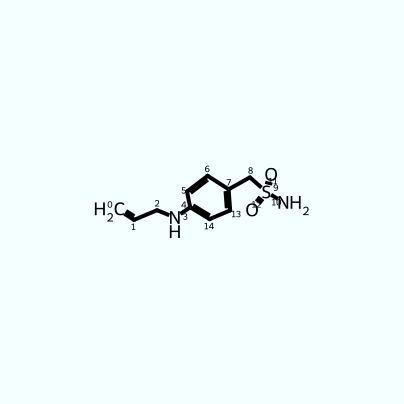 C=CCNc1ccc(CS(N)(=O)=O)cc1